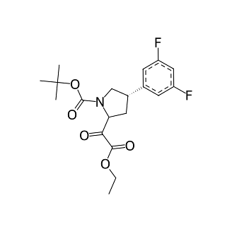 CCOC(=O)C(=O)C1C[C@@H](c2cc(F)cc(F)c2)CN1C(=O)OC(C)(C)C